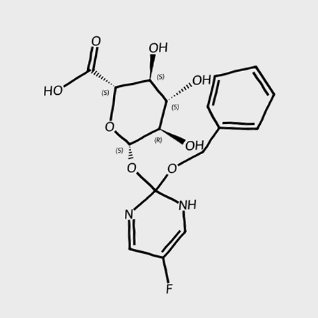 O=C(O)[C@H]1O[C@@H](OC2(OCc3ccccc3)N=CC(F)=CN2)[C@H](O)[C@@H](O)[C@@H]1O